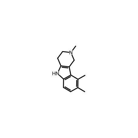 Cc1ccc2[nH]c3c(c2c1C)CN(C)CC3